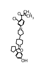 CN(C)C(=O)c1ccc(N2CCC(C3CCN(C(=O)C4(c5ccc(O)cc5)CCCC4)CC3)CC2)cc1Cl